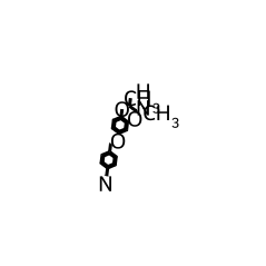 CNC(=O)C(C)Oc1ccc(OCc2ccc(C#N)cc2)cc1